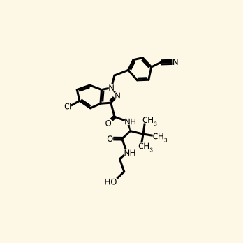 CC(C)(C)[C@H](NC(=O)c1nn(Cc2ccc(C#N)cc2)c2ccc(Cl)cc12)C(=O)NCCO